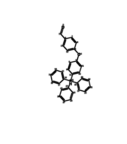 O=Cc1ccc(Oc2ccc([PH](c3ccccc3)(c3ccccc3)c3ccccc3)cc2)cc1